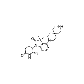 CC1(C)C(=O)N(C2CCC(=O)NC2=O)c2cccc(N3CCC4(CCNCC4)CC3)c21